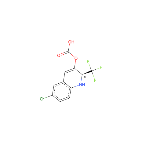 O=C(O)OC1=Cc2cc(Cl)ccc2N[C@@H]1C(F)(F)F